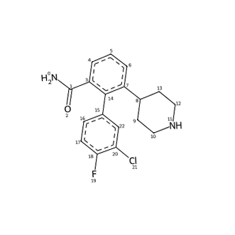 NC(=O)c1cccc(C2CCNCC2)c1-c1ccc(F)c(Cl)c1